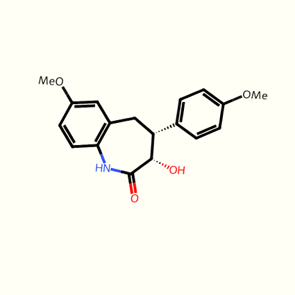 COc1ccc([C@H]2Cc3cc(OC)ccc3NC(=O)[C@H]2O)cc1